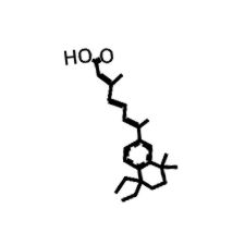 CCC1(CC)CCC(C)(C)c2cc(/C(C)=C/C=C/C(C)=C/C(=O)O)ccc21